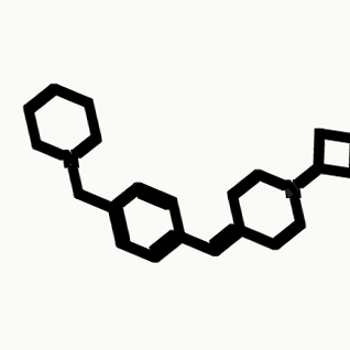 C(=C1CCN(C2CCC2)CC1)c1ccc(CN2CCCCC2)cc1